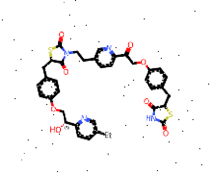 CCc1ccc([C@H](O)COc2ccc(CC3SC(=O)N(CCc4ccc(C(=O)COc5ccc(CC6SC(=O)NC6=O)cc5)nc4)C3=O)cc2)nc1